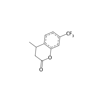 CC1CC(=O)Oc2cc(C(F)(F)F)ccc21